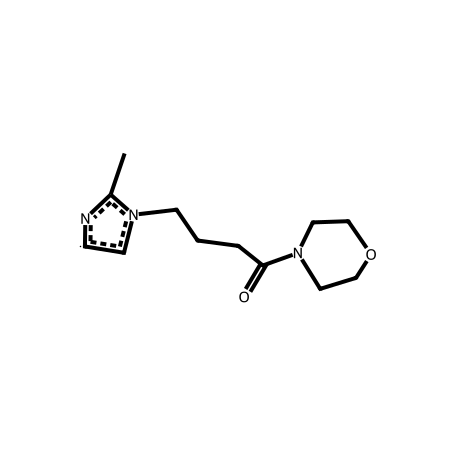 Cc1n[c]cn1CCCC(=O)N1CCOCC1